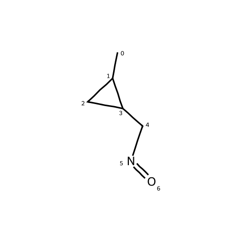 CC1CC1CN=O